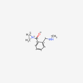 CNCc1ccccc1C(=O)N(C)C